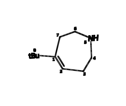 CC(C)(C)C1=CCCNCC1